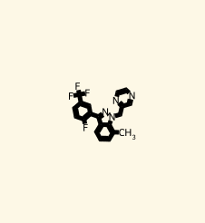 Cc1cccc2c(-c3cc(C(F)(F)F)ccc3F)nn(Cc3cnccn3)c12